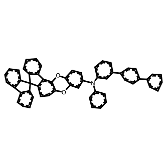 c1ccc(-c2ccc(-c3cccc(N(c4ccccc4)c4ccc5c(c4)Oc4ccc6c(c4O5)-c4ccccc4C64c5ccccc5-c5ccccc54)c3)cc2)cc1